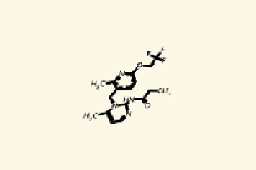 CCC(=O)NC1N=CC=C(C)N1Cc1ccc(OCC(F)(F)F)nc1C